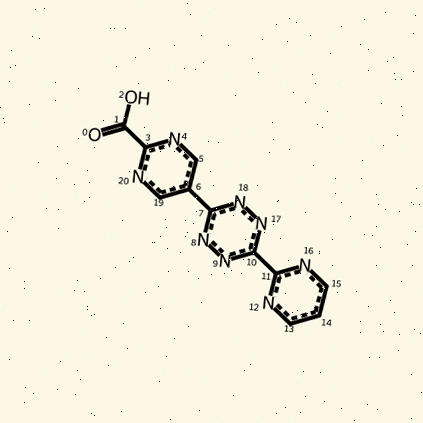 O=C(O)c1ncc(-c2nnc(-c3ncccn3)nn2)cn1